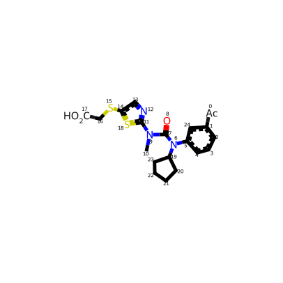 CC(=O)c1cccc(N(C(=O)N(C)c2ncc(SCC(=O)O)s2)C2CCCC2)c1